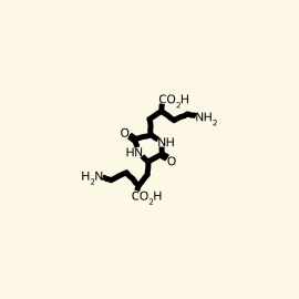 NCCC(CC1NC(=O)C(CC(CCN)C(=O)O)NC1=O)C(=O)O